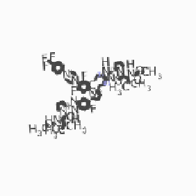 C#C/C=c1/[nH]c([C@@H]2CCCN2C(=O)C(NC(=O)OC)C(C)C)n/c1=C/C[C@H]1CC[C@H](c2cc3nc([C@@H]4CCCN4C(=O)[C@@H](NC(=O)OC)C(C)C)[nH]c3cc2F)N1c1cc(F)c(N2CCN(c3ccc(C(F)(F)F)cc3)CC2)c(F)c1